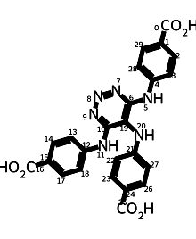 O=C(O)c1ccc(Nc2nnnc(Nc3ccc(C(=O)O)cc3)c2Nc2ccc(C(=O)O)cc2)cc1